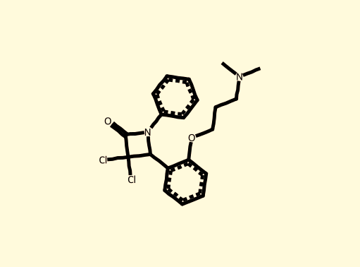 CN(C)CCCOc1ccccc1C1N(c2ccccc2)C(=O)C1(Cl)Cl